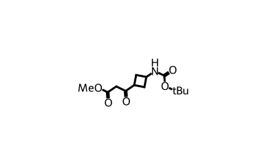 COC(=O)CC(=O)C1CC(NC(=O)OC(C)(C)C)C1